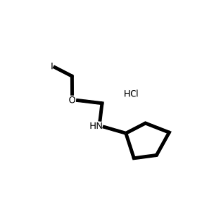 Cl.ICOCNC1CCCC1